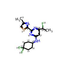 Cc1csc(-c2nc(NC3CCC(F)(F)CC3)cc(C(C)F)n2)n1